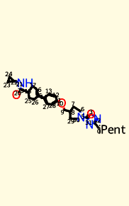 CCCC(C)c1noc(N2CCC(COc3ccc(C4=CCC(C(=O)NC5CC5)CC4)cc3)CC2)n1